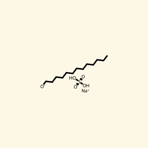 CCCCCCCCCCCCC[O-].O=S(=O)(O)O.[Na+]